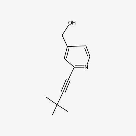 CC(C)(C)C#Cc1cc(CO)ccn1